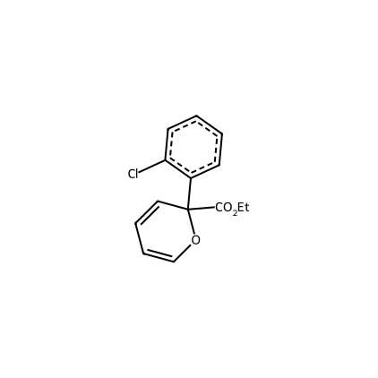 CCOC(=O)C1(c2ccccc2Cl)C=CC=CO1